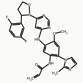 C=CC(=O)Nc1cc(Nc2cc(N3OCCC3c3cc(F)ccc3F)ncn2)c(OC)cc1-n1ccnc1C